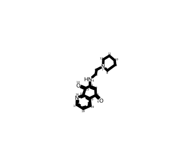 O=C1C=C(NCCN2CCCCC2)C(=O)c2ncccc21